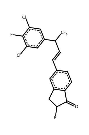 O=C1c2ccc(C=CC(c3cc(Cl)c(F)c(Cl)c3)C(F)(F)F)cc2CC1F